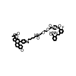 CC(=O)OC1(C(C)=O)CCC2C3CCC4=CC(=O)CCC4=C3C(c3ccc(N(C)CCCCCC(=O)NCCOCCOCC(=O)N4CCN(C(=O)c5cc(Cc6n[nH]c(=O)c7ccccc67)ccc5F)CC4)cc3)CC21C